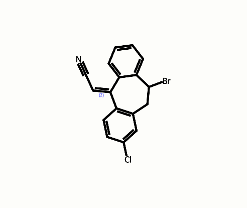 N#C/C=C1/c2ccc(Cl)cc2CC(Br)c2ccccc21